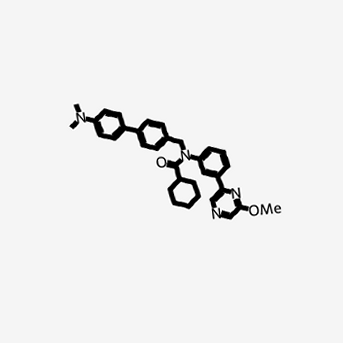 COc1cncc(-c2cccc(N(Cc3ccc(-c4ccc(N(C)C)cc4)cc3)C(=O)C3CCCCC3)c2)n1